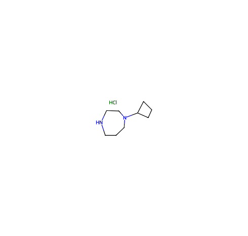 C1CC(N2CCCNCC2)C1.Cl